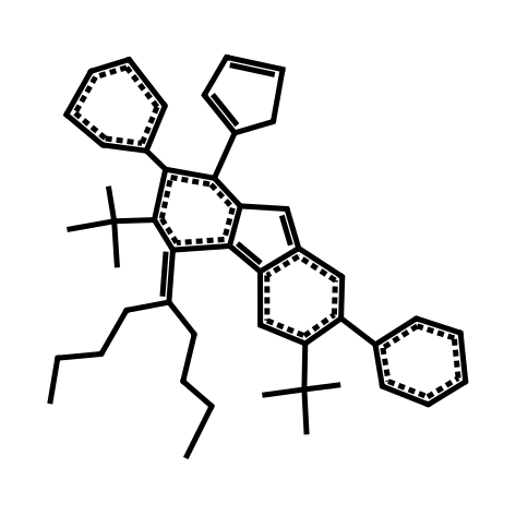 CCCCC(CCCC)=c1c(C(C)(C)C)c(-c2ccccc2)c(C2=CC=CC2)c2c1=c1cc(C(C)(C)C)c(-c3ccccc3)cc1=C2